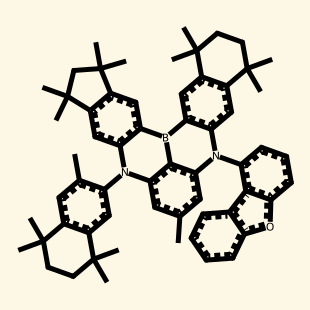 Cc1cc2c3c(c1)N(c1cccc4oc5ccccc5c14)c1cc4c(cc1B3c1cc3c(cc1N2c1cc2c(cc1C)C(C)(C)CCC2(C)C)C(C)(C)CC3(C)C)C(C)(C)CCC4(C)C